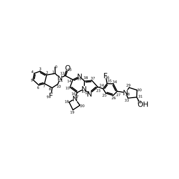 CC1c2ccccc2C(F)CN1C(=O)c1cc(N2CCC2)n2nc(-c3ccc(N4CCC(O)C4)cc3F)cc2n1